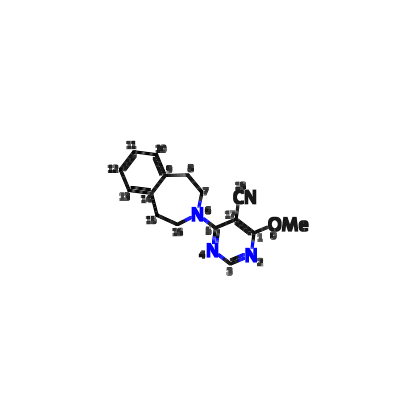 COc1ncnc(N2CCc3ccccc3CC2)c1C#N